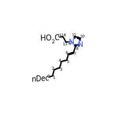 CCCCCCCCCCCCCCCC=Cc1nccn1CCC(=O)O